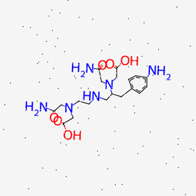 NC(=O)CN(CCNCC(Cc1ccc(N)cc1)N(CC(N)=O)CC(=O)O)CC(=O)O